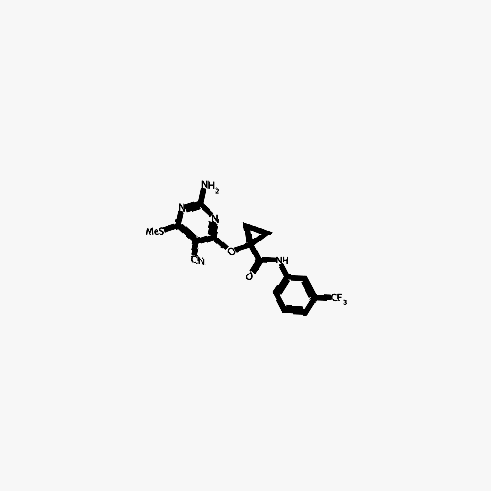 CSc1nc(N)nc(OC2(C(=O)Nc3cccc(C(F)(F)F)c3)CC2)c1C#N